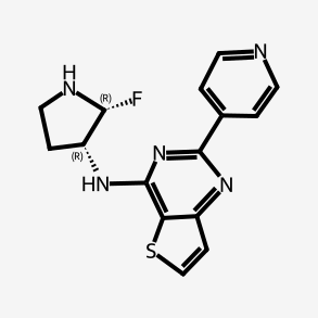 F[C@H]1NCC[C@H]1Nc1nc(-c2ccncc2)nc2ccsc12